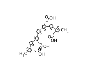 Cc1cc(CCC(=O)O)c(-c2ccc(-c3sc(-c4ccc(-c5cc(CCC(=O)O)c(-c6ccc(-c7sc(C)cc7CCC(=O)O)s6)s5)s4)cc3CCC(=O)O)s2)s1